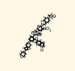 CS(C)(=O)=NC1CCC(CNc2ncc(S(=O)(=O)NC(=O)c3ccc(N4CCC5(CC4)CC(N4CCOCC4)C5)cc3Oc3cnc4[nH]ccc4c3)cc2[N+](=O)[O-])CC1